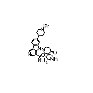 CC(C)N1CCC(c2ccc3c4cncc(C(N)=O)c4n(N4CCC(=O)[C@@]5(CCNC5)C4)c3c2)CC1